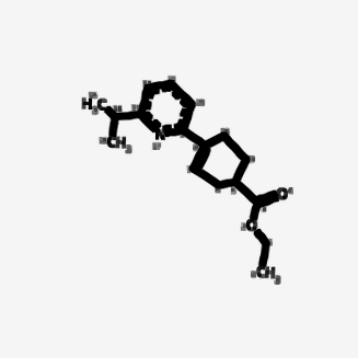 CCOC(=O)C1CC=C(c2cccc(C(C)C)n2)CC1